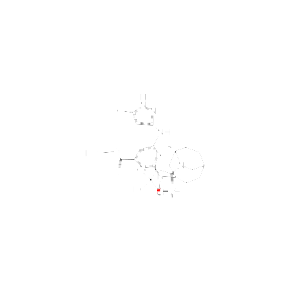 COC(=O)c1cc(Nc2cc(C)[nH]n2)nc(N(C)[C@@H]2CCC3CC[C@@H](C2)N(C(=O)OC(C)(C)C)C3)n1